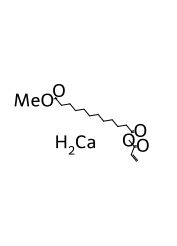 C=CC(=O)OC(=O)CCCCCCCCCCC(=O)OC.[CaH2]